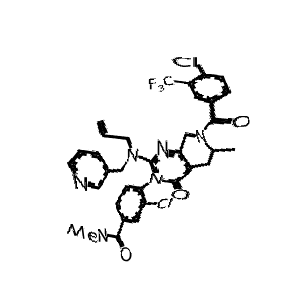 C=CCN(Cc1cccnc1)c1nc2c(c(=O)n1-c1ccc(C(=O)NC)cc1Cl)CC(C)N(C(=O)c1ccc(Cl)c(C(F)(F)F)c1)C2